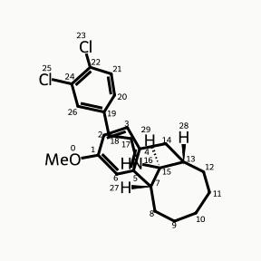 COc1ccc2c(c1)[C@H]1CCCCC[C@@H](C2)[C@@H]1NCCc1ccc(Cl)c(Cl)c1